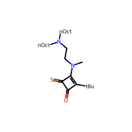 CCCCCCCCN(CCCCCCCC)CCN(C)c1c(C(C)(C)C)c(=O)c1=S